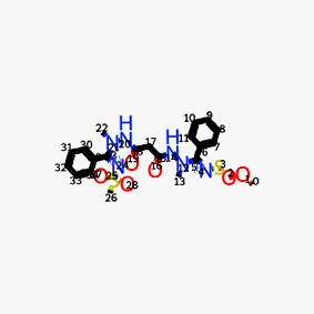 COOS/N=C(\c1ccccc1)N(C)NC(=O)CC(=O)NN(C)/C(=N/S(C)(=O)=O)c1ccccc1